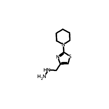 NNCc1csc(N2CCCCC2)n1